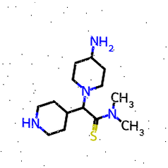 CN(C)C(=S)C(C1CCNCC1)N1CCC(N)CC1